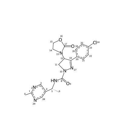 Cc1ncc([C@@H](C)NC(=O)N2CC(N3CCOC3=O)C(c3ccc(Cl)cc3)=N2)cn1